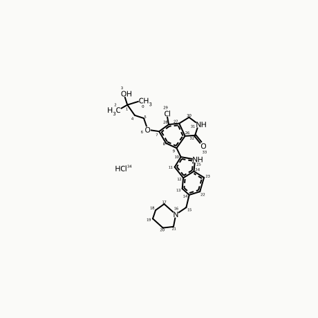 CC(C)(O)CCOc1cc(-c2cc3cc(CN4CCCCC4)ccc3[nH]2)c2c(c1Cl)CNC2=O.Cl